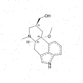 CO[C@@]12C[C@H](CO)CN(C)[C@@H]1Cc1c[nH]c3cccc2c13